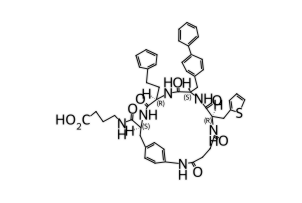 O=C(O)CCCNC(=O)[C@@H]1Cc2ccc(cc2)NC(=O)CCC(=O)N[C@H](Cc2cccs2)C(=O)N[C@@H](Cc2ccc(-c3ccccc3)cc2)C(=O)N[C@H](CCc2ccccc2)C(=O)N1